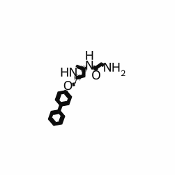 NCC(=O)N[C@@H]1CN[C@@H](COc2ccc(-c3ccccc3)cc2)C1